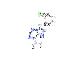 CCN(CC)c1ncnc2c1ncn2Cc1ccccc1F